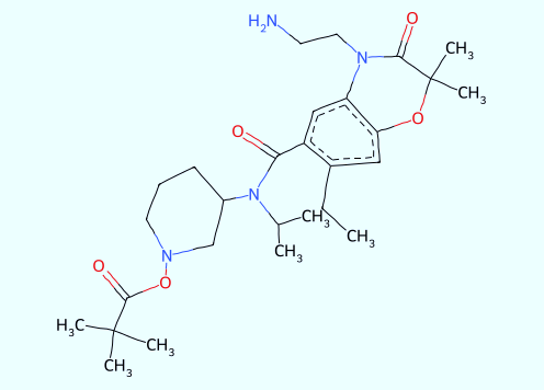 CCc1cc2c(cc1C(=O)N(C(C)C)C1CCCN(OC(=O)C(C)(C)C)C1)N(CCN)C(=O)C(C)(C)O2